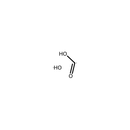 O=[C]O.[OH]